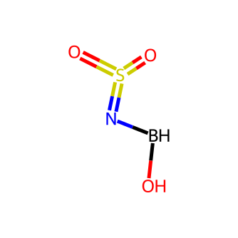 O=S(=O)=NBO